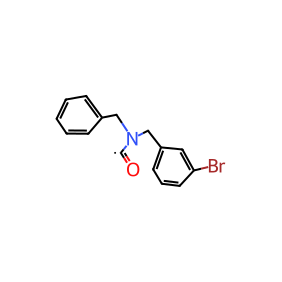 O=[C]N(Cc1ccccc1)Cc1cccc(Br)c1